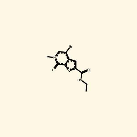 CCNC(=O)c1cc2c(Br)cn(C)c(=O)c2s1